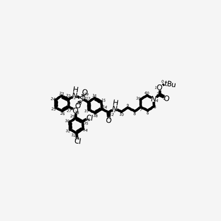 CC(C)(C)OC(=O)N1CCC(CCCNC(=O)c2ccc(S(=O)(=O)Nc3ccccc3Oc3ccc(Cl)cc3Cl)cc2)CC1